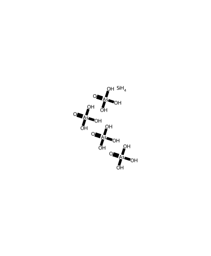 O=[As](O)(O)O.O=[As](O)(O)O.O=[As](O)(O)O.O=[As](O)(O)O.[SiH4]